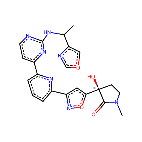 CC(Nc1nccc(-c2cccc(-c3cc([C@]4(O)CCN(C)C4=O)on3)n2)n1)c1cocn1